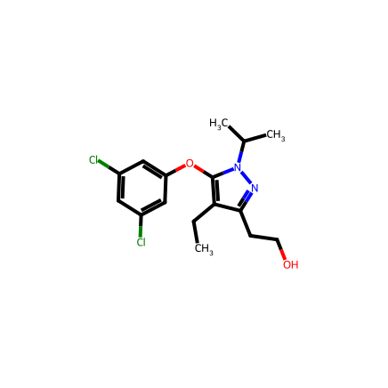 CCc1c(CCO)nn(C(C)C)c1Oc1cc(Cl)cc(Cl)c1